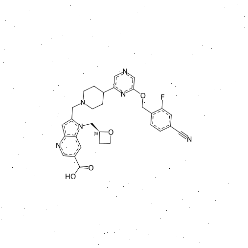 N#Cc1ccc(COc2cncc(C3CCN(Cc4cc5ncc(C(=O)O)cc5n4C[C@@H]4CCO4)CC3)n2)c(F)c1